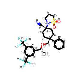 C[C@@H](OC[C@]1(c2ccccc2)CC[C@@](C#N)(N2CCCS2(=O)=O)CC1)c1cc(C(F)(F)F)cc(C(F)(F)F)c1